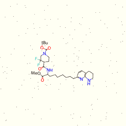 COC(=O)C(CCCCCCCc1ccc2c(n1)NCCC2)NC(=O)C1CCN(C(=O)OC(C)(C)C)CC1(F)F